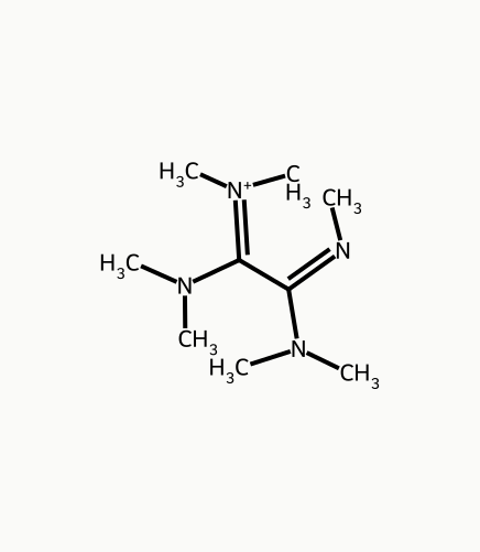 C/N=C(\C(N(C)C)=[N+](C)C)N(C)C